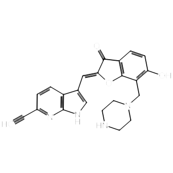 C#Cc1ccc2c(/C=C3\Oc4c(ccc(O)c4CN4CCNCC4)C3=O)c[nH]c2n1